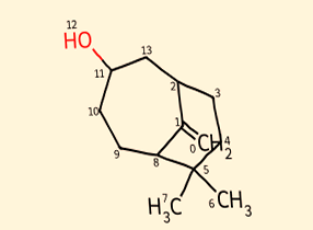 C=C1C2CCC(C)(C)C1CCC(O)C2